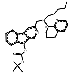 CCCCCN(Cc1cc2c3ccccc3n(OC(=O)OC(C)(C)C)c2cn1)[C@@H]1CCCc2cccnc21